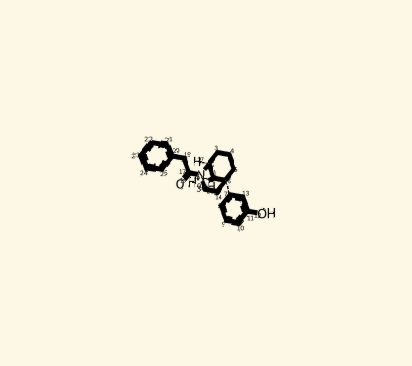 C[C@H]1[C@@H]2CCC[C@@]1(c1cccc(O)c1)CCN2C(=O)Cc1ccccc1